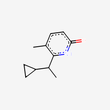 Cc1ccc(=O)[nH]c1C(C)C1CC1